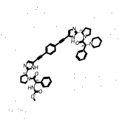 COC(=O)N[C@@H](C(=O)N1CCC[C@H]1c1ncc(C#Cc2ccc(C#Cc3cnc([C@@H]4CCCN4C(=O)[C@@H](c4ccccc4)N4CCCCC4)[nH]3)cc2)[nH]1)c1ccccc1